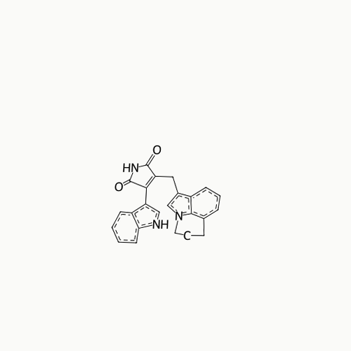 O=C1NC(=O)C(c2c[nH]c3ccccc23)=C1Cc1cn2c3c(cccc13)CCC2